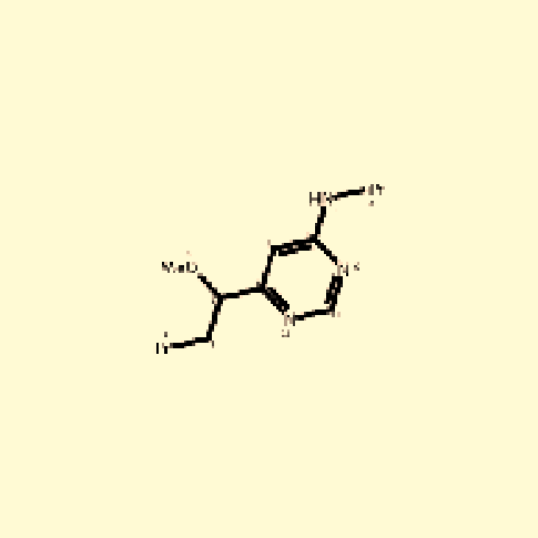 COC(CC(C)C)c1cc(NC(C)C)ncn1